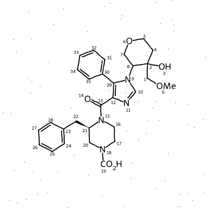 COCC1(O)CCOCC1n1cnc(C(=O)N2CCN(C(=O)O)C[C@H]2Cc2ccccc2)c1-c1ccccc1